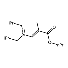 CCCOC(=O)C(C)=C[SiH](CC(C)C)CC(C)C